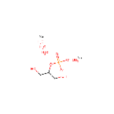 O.O.O.O.O=P([O-])([O-])OC(CO)CO.[Na+].[Na+]